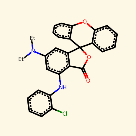 CCN(CC)c1cc(Nc2ccccc2Cl)c2c(c1)C1(OC2=O)c2ccccc2Oc2ccccc21